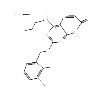 CC[C@@H](CO)Nc1nc(SCc2cccc(F)c2F)nc2[nH]c(=O)cnc12